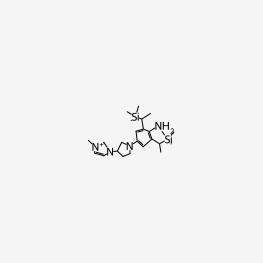 CC(c1cc(N2CCC(n3cc[n+](C)c3)C2)cc(C(C)[Si](C)(C)C)c1N)[Si](C)(C)C